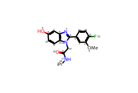 COc1cc(-c2nc3cc(O)ccc3n2CC(=O)NC(C)C)ccc1F